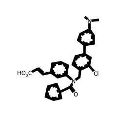 CN(C)c1ccc(-c2ccc(CN(C(=O)c3ccccc3)c3cccc(C=CC(=O)O)c3)c(Cl)c2)cc1